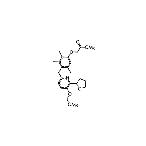 COCOc1ccc(Cc2c(C)cc(OCC(=O)OC)c(C)c2C)nc1C1CCCO1